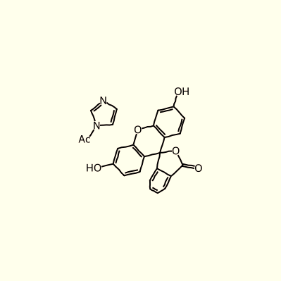 CC(=O)n1ccnc1.O=C1OC2(c3ccc(O)cc3Oc3cc(O)ccc32)c2ccccc21